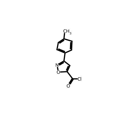 Cc1ccc(-c2cc(C(=O)Cl)on2)cc1